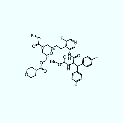 CC(C)(C)OC(=O)NC(C(=O)Nc1cncc(F)c1CC[C@@H]1CN(C(=O)OC(C)(C)C)C[C@@H](COC(=O)N2CCOCC2)O1)C(c1ccc(F)cc1)c1ccc(F)cc1